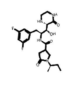 CC[C@@H](C)N1CC(C(=O)N[C@@H](Cc2cc(F)cc(F)c2)[C@H](O)[C@@H]2NCCNC2=O)CC1=O